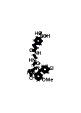 COc1ccc2c(c1)C(c1ccc(Cl)cc1)=N[C@@H](CC(=O)NCCNC(=O)/C=C/c1ccc(B(O)O)cc1)c1nnc(C)n1-2